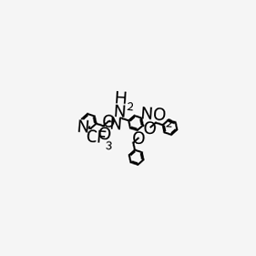 NC(=NOC(=O)c1cccnc1C(F)(F)F)c1cc(OCc2ccccc2)c(OCc2ccccc2)c([N+](=O)[O-])c1